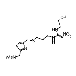 CNCc1nc(CSCCCNC(=C[N+](=O)[O-])NCCO)cs1